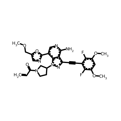 C=CC(=O)N1CCC(n2nc(C#Cc3c(F)c(OC)cc(OC)c3F)c3c(N)ncc(-c4ncc(COC)o4)c32)C1